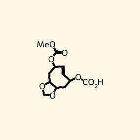 COC(=O)OC1/C=C/C(OC(=O)O)CC2OCOC2C1